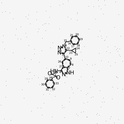 O=S(=O)(Nc1n[nH]c2ccc(-c3nnn(Cc4ccccc4)c3C3CC3)cc12)c1ccccc1